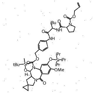 C=CCOC(=O)N1CCC[C@H]1C(=O)NC(C(=O)Nc1ccc(COC(=O)N2c3cc(O[Si](C(C)C)(C(C)C)C(C)C)c(OC)cc3C(=O)N3CC4(CC4)C[C@H]3C2O[Si](C)(C)C(C)(C)C)cc1)C(C)CC